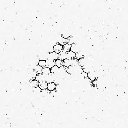 CC[C@H](C)[C@@H](CCC(=O)N1CCC[C@H]1C[C@@H](C)C(=O)N[C@H](C)Cc1ccccc1)N(C)C(=O)C(NC(=O)[C@H](C(C)C)N(C)C(=O)CNC(=O)CCCCNC(N)=O)C(C)C